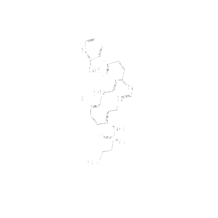 CCCS(=O)(=O)Nc1ccc(F)c(Nc2ncnc3ccc(-c4cccnc4N)cc23)c1F